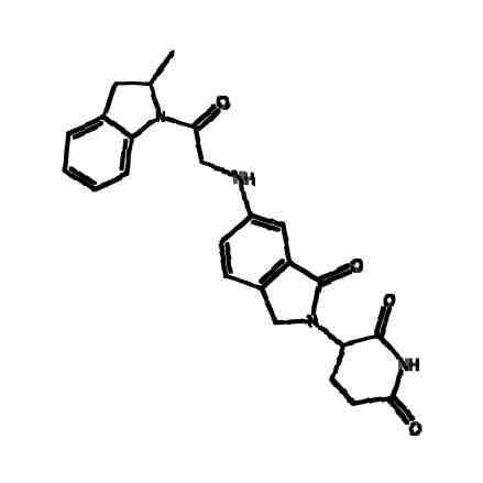 CC1Cc2ccccc2N1C(=O)CNc1ccc2c(c1)C(=O)N(C1CCC(=O)NC1=O)C2